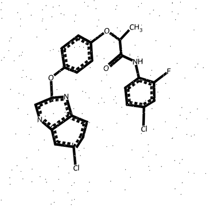 CC(Oc1ccc(Oc2cnc3cc(Cl)ccc3n2)cc1)C(=O)Nc1ccc(Cl)cc1F